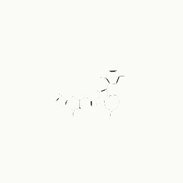 CNC(=O)C(Cc1cscn1)NC(=O)C1N=C(c2cc(F)c(F)cc2F)N2CCCN(C)C[C@@H]12